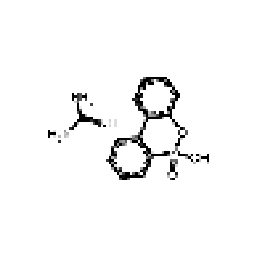 N=C(N)N.O=P1(O)Oc2ccccc2-c2ccccc21